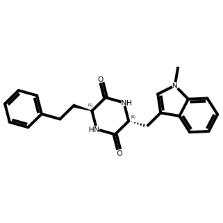 Cn1cc(C[C@H]2NC(=O)[C@H](CCc3ccccc3)NC2=O)c2ccccc21